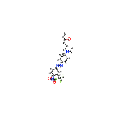 C=CC(=O)CCCN(CC)c1ccc(N=Nc2ccc([N+](=O)[O-])c(C(F)(F)F)c2)cc1